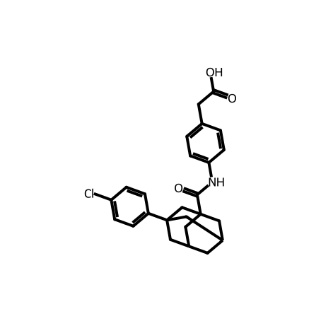 O=C(O)Cc1ccc(NC(=O)C23CC4CC(C2)CC(c2ccc(Cl)cc2)(C4)C3)cc1